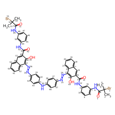 CC(C)(Br)C(=O)Nc1cccc(NC(=O)c2cc3ccccc3c(N=Nc3ccc(Nc4ccc(N=Nc5c(O)c(C(=O)Nc6cccc(NC(=O)C(C)(C)Br)c6)cc6ccccc56)cc4)cc3)c2O)c1